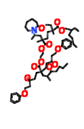 CCCCC(=O)C(C)CC(CCC(=O)CCOc1ccccc1)(CCC(=O)CCOc1ccccc1)C(=O)OCCOC(=O)C(C)(CCC(C)(CC)C(=O)OCC(CC)CCCC)CC(C)N1CCCCCC1=O